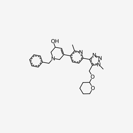 Cc1nc(-c2nnn(C)c2COC2CCCCO2)ccc1C1=CC(O)CN(Cc2ccccc2)C1